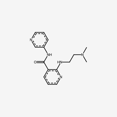 CN(C)CCNc1ncccc1C(=O)Nc1cccnc1